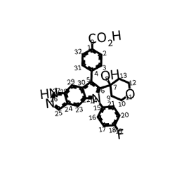 O=C(O)c1ccc(-c2c(C3(O)CCOCC3)n(-c3ccc(F)cc3)c3cc4cn[nH]c4cc23)cc1